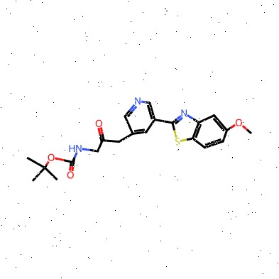 COc1ccc2sc(-c3cncc(CC(=O)CNC(=O)OC(C)(C)C)c3)nc2c1